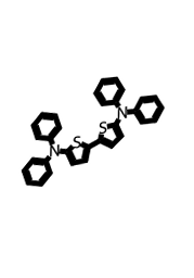 c1ccc(N(c2ccccc2)c2ccc(-c3ccc(N(c4ccccc4)c4ccccc4)s3)s2)cc1